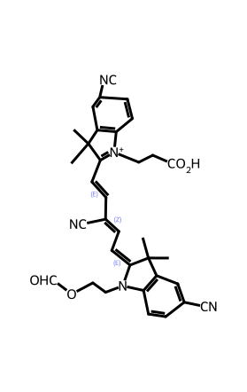 [C-]#[N+]c1ccc2c(c1)C(C)(C)C(/C=C/C(C#N)=C/C=C1/N(CCOC=O)c3ccc(C#N)cc3C1(C)C)=[N+]2CCC(=O)O